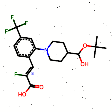 CC(C)(C)OC(O)C1CCN(c2cc(C(F)(F)F)ccc2/C=C(\F)C(=O)O)CC1